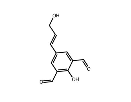 O=Cc1cc(/C=C/CO)cc(C=O)c1O